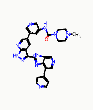 CN1CCN(C(=O)Nc2cncc(-c3cnc4[nH]nc(-c5nc6c(-c7ccncc7)cncc6[nH]5)c4c3)c2)CC1